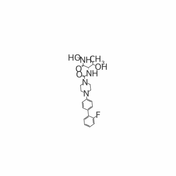 C[C@@H](O)[C@H](NC(=O)N1CCN(c2ccc(-c3ccccc3F)cc2)CC1)C(=O)NO